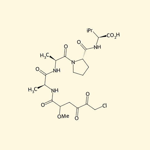 COC(CC(=O)C(=O)CCl)C(=O)N[C@@H](C)C(=O)N[C@@H](C)C(=O)N1CCC[C@H]1C(=O)N[C@H](C(=O)O)C(C)C